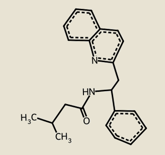 CC(C)CC(=O)NC(Cc1ccc2ccccc2n1)c1ccccc1